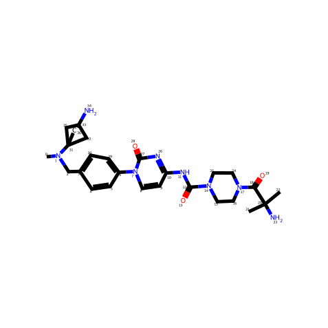 CN(Cc1ccc(-n2ccc(NC(=O)N3CCN(C(=O)C(C)(C)N)CC3)nc2=O)cc1)C12CC(N)(C1)C2